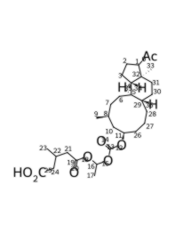 CC(=O)C1CC[C@H]2[C@@H]3CC[C@H](C)C[C@H](OC(=O)OC(C)OC(=O)CC(C)CC(=O)O)CCC[C@H]3CC[C@]12C